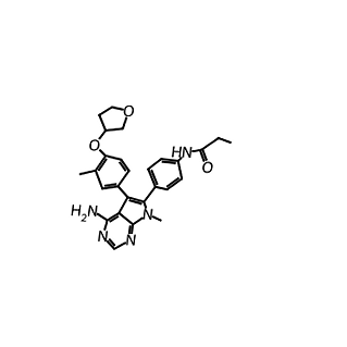 CCC(=O)Nc1ccc(-c2c(-c3ccc(OC4CCOC4)c(C)c3)c3c(N)ncnc3n2C)cc1